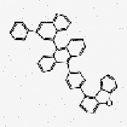 c1ccc(-c2cc(-c3c4ccccc4c(-c4ccc(-c5cccc6oc7ccccc7c56)cc4)c4ccccc34)c3ccccc3c2)cc1